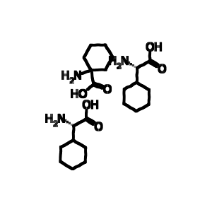 NC1(C(=O)O)CCCCC1.N[C@H](C(=O)O)C1CCCCC1.N[C@H](C(=O)O)C1CCCCC1